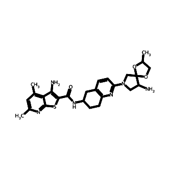 Cc1cc(C)c2c(N)c(C(=O)NC3CCc4nc(N5CC(N)C6(C5)OCC(C)O6)ccc4C3)sc2n1